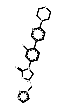 O=C1O[C@@H](Cn2ccnn2)CN1c1ccc(-c2ccc(N3CCSCC3)nc2)c(F)c1